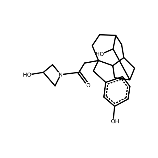 O=C(CC1(Cc2cccc(O)c2)CCC2CC3CC(CC31)C2O)N1CC(O)C1